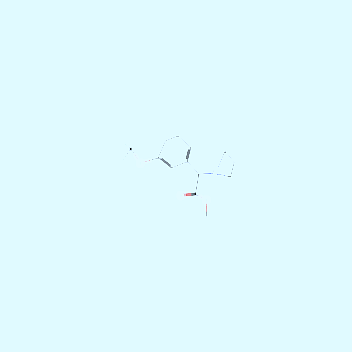 COC(=O)C(C1=CCCC(OC(F)(F)F)=C1)N1CCC1